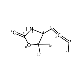 CC=C=CC1NC(=O)OC1(C)C